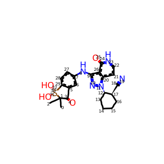 CC1(C)C(=O)c2cc(Nc3nn([C@H]4CCCC[C@@H]4C#N)c4cc[nH]c(=O)c34)ccc2S1(O)O